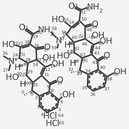 C[C@H]1c2cccc(O)c2C(=O)C2=C(O)[C@]3(O)C(=O)C(C(N)=O)=C(O)[C@@H](N(C)C)[C@@H]3[C@@H](O)[C@@H]21.C[C@H]1c2cccc(O)c2C(=O)C2=C(O)[C@]3(O)C(=O)C(C(N)=O)=C(O)[C@@H](N(C)C)[C@@H]3[C@@H](O)[C@@H]21.Cl.Cl